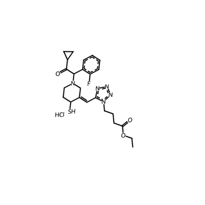 CCOC(=O)CCCn1nnnc1/C=C1\CN(C(C(=O)C2CC2)c2ccccc2F)CCC1S.Cl